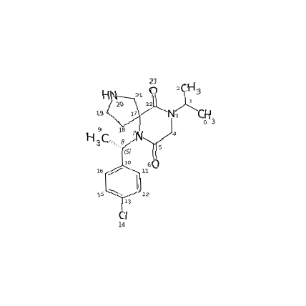 CC(C)N1CC(=O)N([C@@H](C)c2ccc(Cl)cc2)C2(CCNC2)C1=O